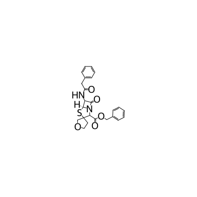 O=C(Cc1ccccc1)NC1C(=O)N2C(C(=O)OCc3ccccc3)C3(CCOC3)S[C@@H]12